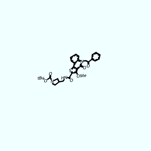 COc1c(C(=O)NCC2CCN(C(=O)OC(C)(C)C)C2)sc2c1c(=O)n(CC(=O)c1ccccc1)c1ccccc21